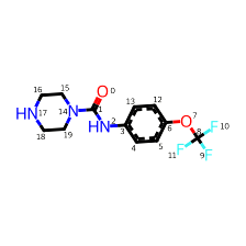 O=C(Nc1ccc(OC(F)(F)F)cc1)N1CCNCC1